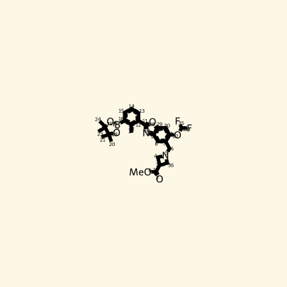 COC(=O)C1CN(Cc2cc3nc(-c4cccc(B5OC(C)(C)C(C)(C)O5)c4C)oc3cc2OC(F)F)C1